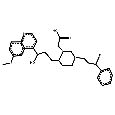 COc1ccc2nccc(C(O)CC[C@@H]3CCN(CCC(F)c4ccccc4)C[C@@H]3CC(=O)O)c2c1